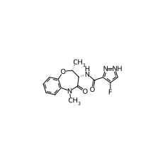 C[C@H]1Oc2ccccc2N(C)C(=O)[C@H]1NC(=O)c1n[nH]cc1F